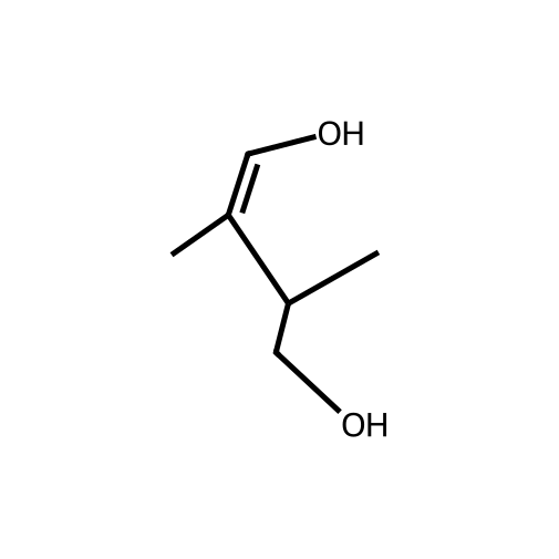 CC(=CO)C(C)CO